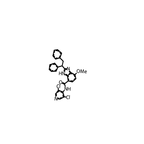 COc1ccc(C(=O)Nc2c(Cl)cncc2Cl)c2[nH]c(C(Cc3ccccc3)c3ccccc3)nc12